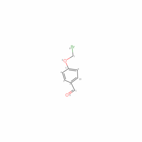 O=Cc1ccc(OCBr)cc1